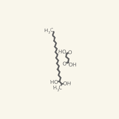 CCCCCCCCCCCCCCCCCCC(O)C(C)O.O=C(O)CCC(=O)O